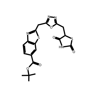 CC(C)(C)OC(=O)c1ccc2nc(Cc3nnc(CC4SC(=O)NC4=O)o3)sc2c1